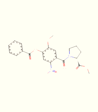 COC(=O)[C@@H]1CCCN1C(=O)c1cc(OC)c(OC(=O)c2ccccc2)cc1[N+](=O)[O-]